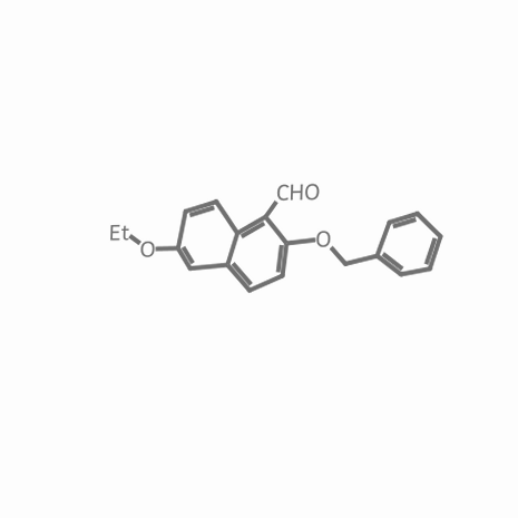 CCOc1ccc2c(C=O)c(OCc3ccccc3)ccc2c1